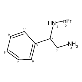 CCCNC(CN)c1ccccc1